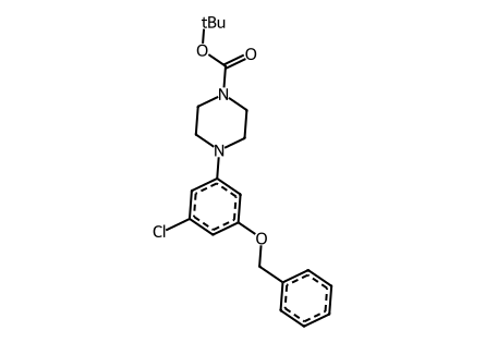 CC(C)(C)OC(=O)N1CCN(c2cc(Cl)cc(OCc3ccccc3)c2)CC1